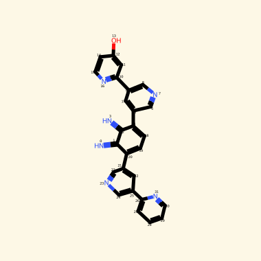 N=C1C(=N)C(c2cncc(-c3cc(O)ccn3)c2)=CC=C1c1cncc(-c2ccccn2)c1